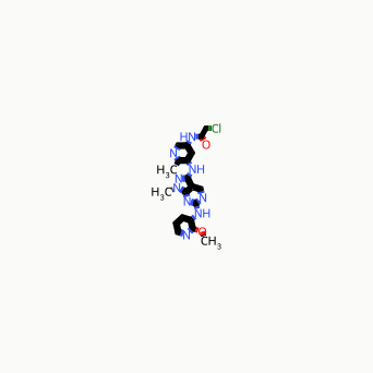 COc1ncccc1Nc1ncc2c(Nc3cc(NC(=O)CCl)cnc3C)nn(C)c2n1